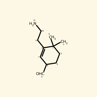 CC1(C)CCC(C=O)C=C1CCN